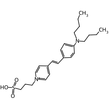 CCCCN(CCCC)c1ccc(/C=C/c2cc[n+](CCCS(=O)(=O)O)cc2)cc1